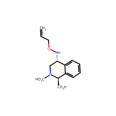 C=CCON[C@H]1CN(C(=O)O)[C@H](C(=O)O)c2ccccc21